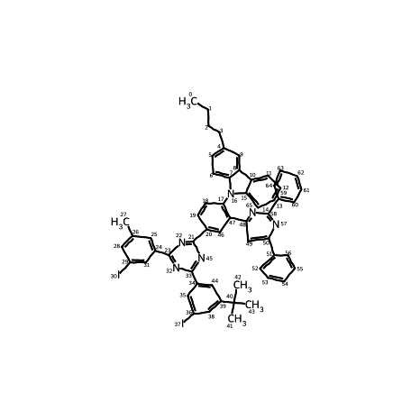 CCCCc1ccc2c(c1)c1ccccc1n2-c1ccc(-c2nc(-c3cc(C)cc(I)c3)nc(-c3cc(I)cc(C(C)(C)C)c3)n2)cc1-c1cc(-c2ccccc2)nc(-c2ccccc2)n1